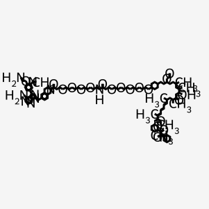 C=Nc1cc(-c2nn(Cc3ccc4c(c3)CCN(C(=O)CCOCCOCCOCCOCCNC(=O)CCOCCOCCOCCOCCOC3CCC(CCC(CCC(C)/C=C(\C)C(O)CC(=O)C(C)CC(C)/C=C/C=C/C=C(\C)C(C[C@@H]5CC[C@@H](C)C(C(=O)C(=O)N6CCCCC6)O5)OC)OC=O)CC3)C4)c3ncnc(N)c23)ccc1OCN